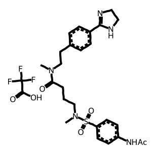 CC(=O)Nc1ccc(S(=O)(=O)N(C)CCCC(=O)N(C)CCc2ccc(C3=NCCN3)cc2)cc1.O=C(O)C(F)(F)F